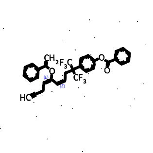 C#CC/C=C(\C=C/CC(c1ccc(OC(=O)c2ccccc2)cc1)(C(F)(F)F)C(F)(F)F)OC(=C)c1ccccc1